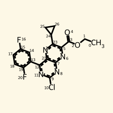 CCOC(=O)c1nc2nc(Cl)nc(-c3cc(F)ccc3F)c2nc1C1CC1